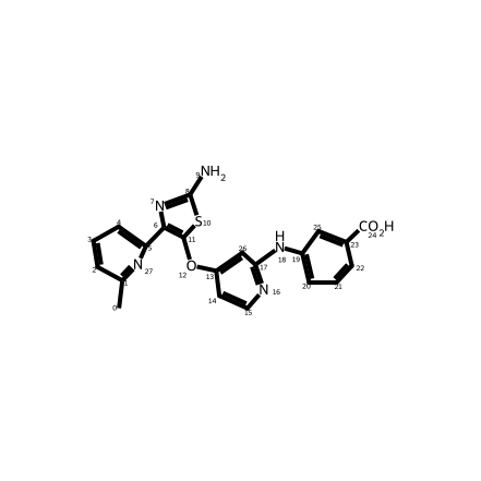 Cc1cccc(-c2nc(N)sc2Oc2ccnc(Nc3cccc(C(=O)O)c3)c2)n1